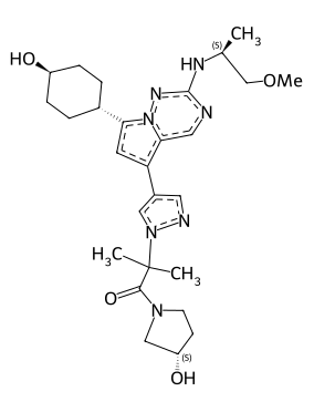 COC[C@H](C)Nc1ncc2c(-c3cnn(C(C)(C)C(=O)N4CC[C@H](O)C4)c3)cc([C@H]3CC[C@H](O)CC3)n2n1